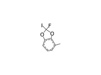 Cc1cccc2c1OC(F)(I)O2